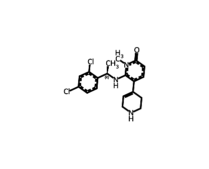 C[C@@H](Nc1c(C2=CCNCC2)ccc(=O)n1C)c1ccc(Cl)cc1Cl